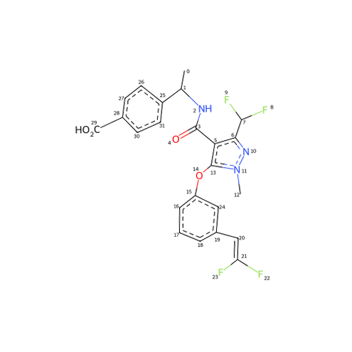 CC(NC(=O)c1c(C(F)F)nn(C)c1Oc1cccc(C=C(F)F)c1)c1ccc(C(=O)O)cc1